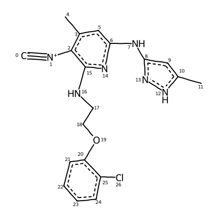 [C-]#[N+]c1c(C)cc(Nc2cc(C)[nH]n2)nc1NCCOc1ccccc1Cl